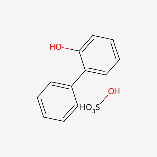 O=S(=O)(O)O.Oc1ccccc1-c1ccccc1